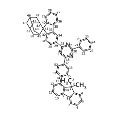 CC1(C)c2ccccc2-c2cccc(-c3ccc(-c4nc(-c5ccccc5)nc(-c5ccc6c(c5)-c5ccccc5C65C6CC7CC(C6)CC5C7)n4)cc3)c21